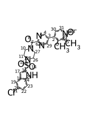 Cc1c(-c2cnc(C(=O)N3CCN(S(=O)(=O)c4cc5cc(Cl)ccc5[nH]4)CC3)nc2)cc[n+]([O-])c1C